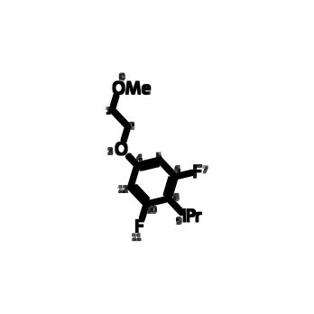 COCCOc1cc(F)c(C(C)C)c(F)c1